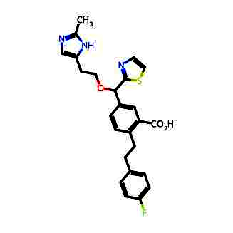 Cc1ncc(CCOC(c2ccc(CCc3ccc(F)cc3)c(C(=O)O)c2)c2nccs2)[nH]1